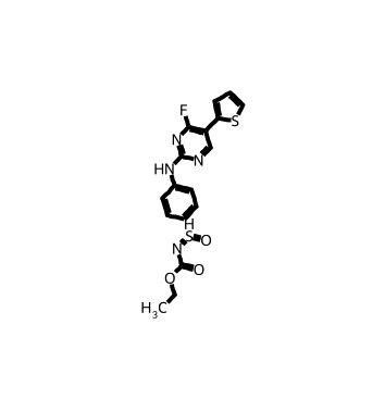 CCOC(=O)/N=[SH](=O)/c1ccc(Nc2ncc(-c3cccs3)c(F)n2)cc1